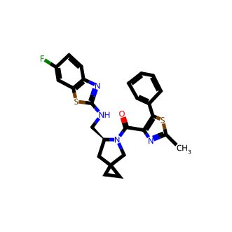 Cc1nc(C(=O)N2CC3(CC3)C[C@H]2CNc2nc3ccc(F)cc3s2)c(-c2ccccc2)s1